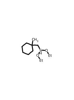 CCO[SiH](CC1(C)CCCCC1)OCC